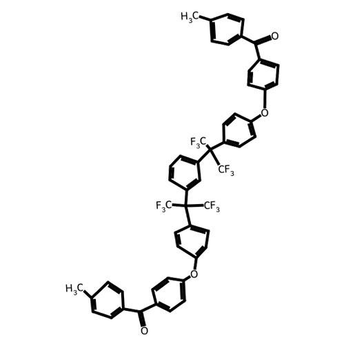 Cc1ccc(C(=O)c2ccc(Oc3ccc(C(c4cccc(C(c5ccc(Oc6ccc(C(=O)c7ccc(C)cc7)cc6)cc5)(C(F)(F)F)C(F)(F)F)c4)(C(F)(F)F)C(F)(F)F)cc3)cc2)cc1